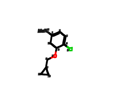 CNC1=CC=C(Cl)C(OCC2CC2)C1